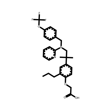 CCCc1cc(C(C)(C)CN(Cc2ccc(OC(F)(F)F)cc2)c2ccccn2)ccc1OCC(=O)O